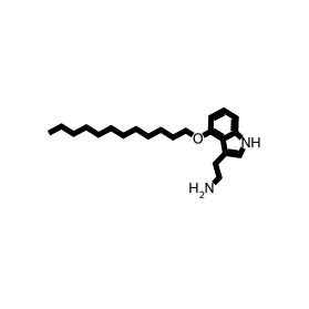 CCCCCCCCCCCCOc1cccc2[nH]cc(CCN)c12